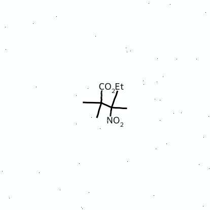 CCOC(=O)C(C)(C)C(C)(C)[N+](=O)[O-]